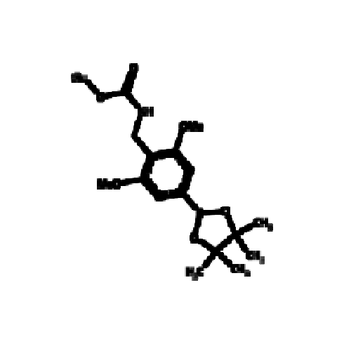 COc1cc(B2OC(C)(C)C(C)(C)O2)cc(OC)c1CNC(=O)OC(C)(C)C